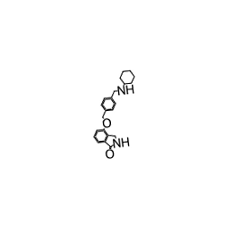 O=C1NCc2c(OCc3ccc(CNC4CCCCC4)cc3)cccc21